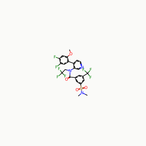 COc1cc(F)c(F)cc1-c1ccncc1N(CC(F)(F)F)C(=O)c1cc(C(F)(F)F)cc(S(=O)(=O)N(C)C)c1